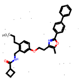 Cc1oc(-c2ccc(-c3ccccc3)cc2)nc1CCOc1ccc(CCC(=O)O)c(CNC(=O)C2CCC2)c1